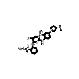 CNS(=O)(=O)c1ccccc1Nc1nc(Nc2ccc(N3CC[C@H](N(C)C)C3)cc2OC(C)C)ncc1Br